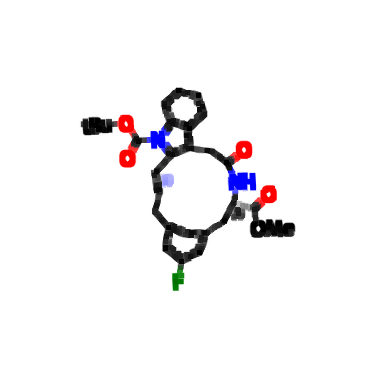 COC(=O)[C@@H]1Cc2cc(F)cc(c2)C/C=C/c2c(c3ccccc3n2C(=O)OC(C)(C)C)CC(=O)N1